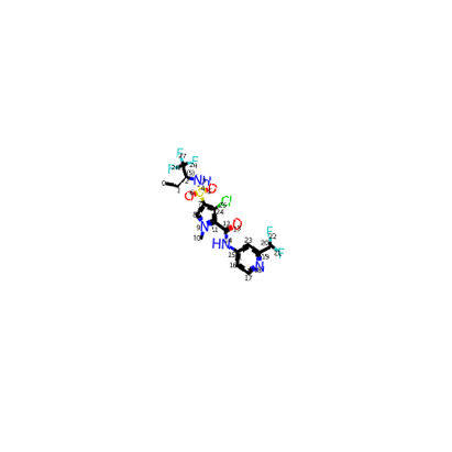 CC[C@H](NS(=O)(=O)c1cn(C)c(C(=O)Nc2ccnc(C(F)F)c2)c1Cl)C(F)(F)F